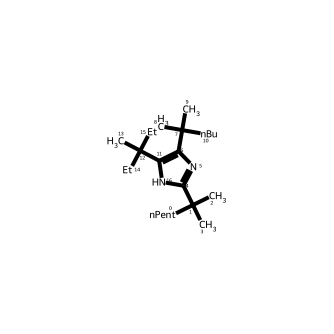 CCCCCC(C)(C)c1nc(C(C)(C)CCCC)c(C(C)(CC)CC)[nH]1